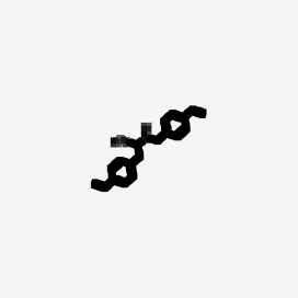 C=Cc1ccc(CNC(CCC)Cc2ccc(C=C)cc2)cc1